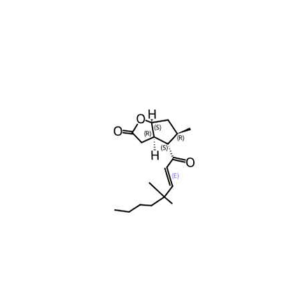 CCCCC(C)(C)/C=C/C(=O)[C@@H]1[C@H]2CC(=O)O[C@H]2C[C@H]1C